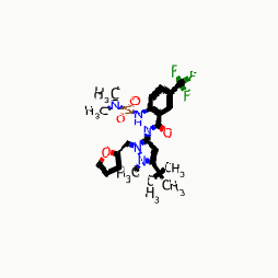 CN(C)S(=O)(=O)Nc1ccc(C(F)(F)F)cc1C(=O)N=c1cc(C(C)(C)C)n(C)n1C[C@H]1CCCO1